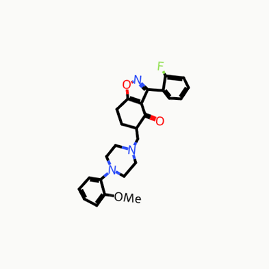 COc1ccccc1N1CCN(CC2CCc3onc(-c4ccccc4F)c3C2=O)CC1